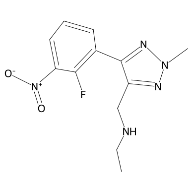 CCNCc1nn(C)nc1-c1cccc([N+](=O)[O-])c1F